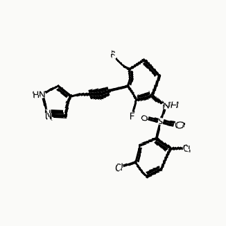 O=S(=O)(Nc1ccc(F)c(C#Cc2cn[nH]c2)c1F)c1cc(Cl)ccc1Cl